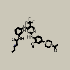 CC/C=C/C(=O)Nc1cccc(Nc2nc(Nc3ccc(N4CCN(C(C)=O)CC4)cc3OC)ncc2C(F)(F)F)c1